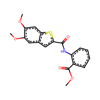 COC(=O)c1ccccc1NC(=O)c1cc2cc(OC)c(OC)cc2s1